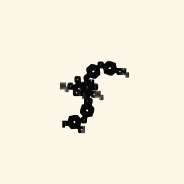 Cc1ccc(Oc2ccc(CNN(CC(C)(NCc3ccc(Oc4ccc(F)cc4Cl)cc3)C(N)=O)C(=O)C(C)C)cc2)cc1